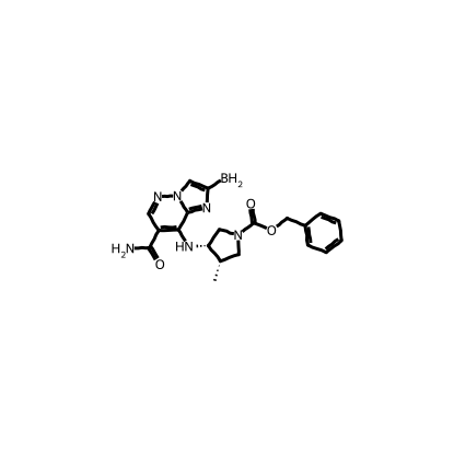 Bc1cn2ncc(C(N)=O)c(N[C@@H]3CN(C(=O)OCc4ccccc4)C[C@@H]3C)c2n1